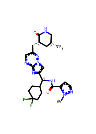 CC(C)n1nccc1C(=O)N[C@H](c1cn2nc(C[C@H]3C[C@@H](C(F)(F)F)CNC3=O)cnc2n1)C1CCC(F)(F)CC1